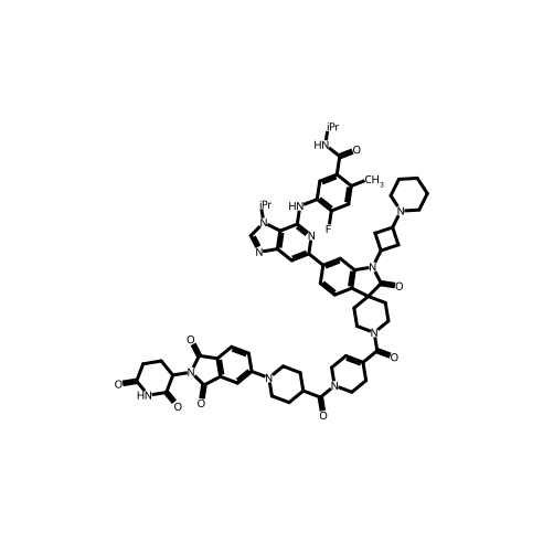 Cc1cc(F)c(Nc2nc(-c3ccc4c(c3)N(C3CC(N5CCCCC5)C3)C(=O)C43CCN(C(=O)C4=CCN(C(=O)C5CCN(c6ccc7c(c6)C(=O)N(C6CCC(=O)NC6=O)C7=O)CC5)CC4)CC3)cc3ncn(C(C)C)c23)cc1C(=O)NC(C)C